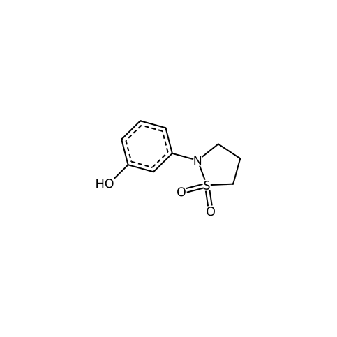 O=S1(=O)CCCN1c1cccc(O)c1